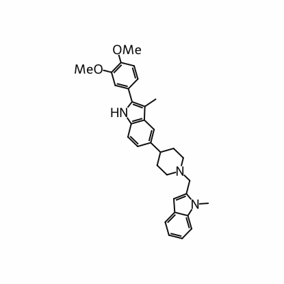 COc1ccc(-c2[nH]c3ccc(C4CCN(Cc5cc6ccccc6n5C)CC4)cc3c2C)cc1OC